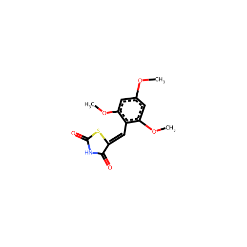 COc1cc(OC)c(C=C2SC(=O)NC2=O)c(OC)c1